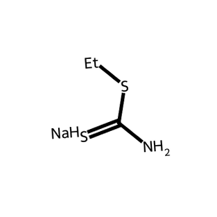 CCSC(N)=S.[NaH]